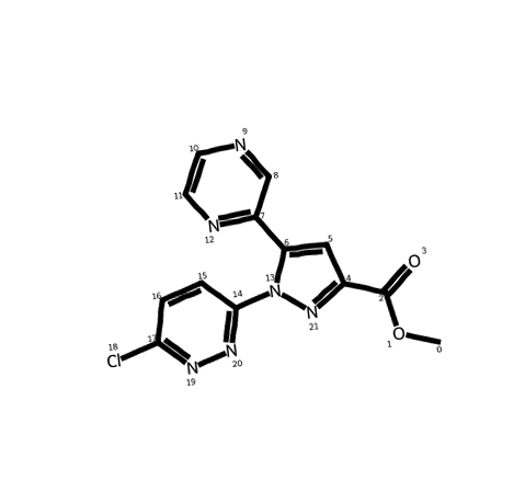 COC(=O)c1cc(-c2cnccn2)n(-c2ccc(Cl)nn2)n1